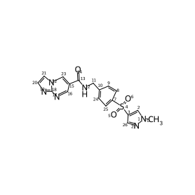 Cn1cc(S(=O)(=O)c2ccc(CNC(=O)c3cnc4nccn4c3)cc2)cn1